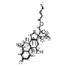 CCCCCOCC(=O)[C@@]1(OC(C)=O)CC[C@H]2[C@@H]3CC(C)C4=CC(=O)C=C[C@]4(C)[C@H]3C(O)C[C@@]21C